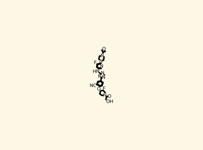 N#Cc1cc(-c2ncnc(Nc3cnc(N4CCN(C5COC5)CC4)c(F)c3)n2)ccc1OC1CCN(C(=O)CO)CC1F